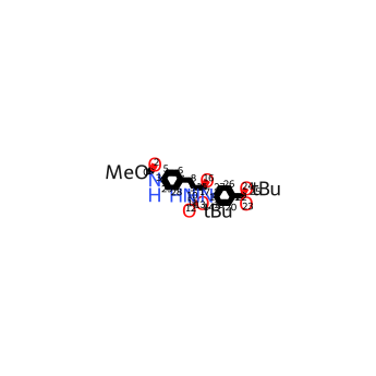 COC(=O)Nc1ccc(CC(NC(=O)OC(C)(C)C)C(=O)Nc2ccc(C(=O)OC(C)(C)C)cc2)cc1